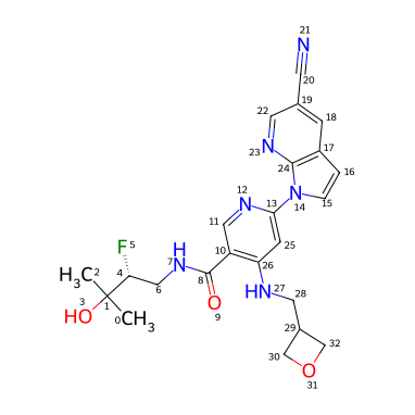 CC(C)(O)[C@H](F)CNC(=O)c1cnc(-n2ccc3cc(C#N)cnc32)cc1NCC1COC1